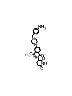 Cc1nn(C2CCC(=O)NC2=O)c(=O)c2ccc(N3CCN(Cc4ccc(N)cc4)CC3)cc12